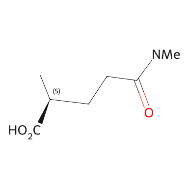 CNC(=O)CC[C@H](C)C(=O)O